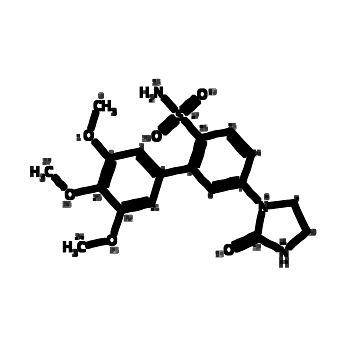 COc1cc(-c2cc(N3CCNC3=O)ccc2S(N)(=O)=O)cc(OC)c1OC